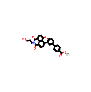 CC(C)(C)OC(=O)c1ccc(-c2ccc3oc4ccc5c(=O)n(CCCO)c(=O)c6ccc(c3c2)c4c56)cc1